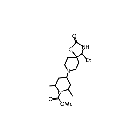 CCC1NC(=O)OC12CCN(C1CC(C)N(C(=O)OC)C(C)C1)CC2